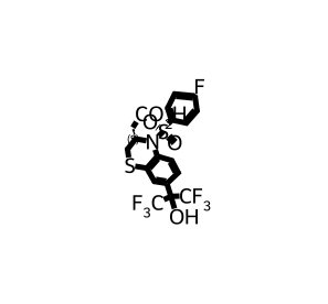 O=C(O)C[C@H]1CSc2cc(C(O)(C(F)(F)F)C(F)(F)F)ccc2N1S(=O)(=O)c1ccc(F)cc1